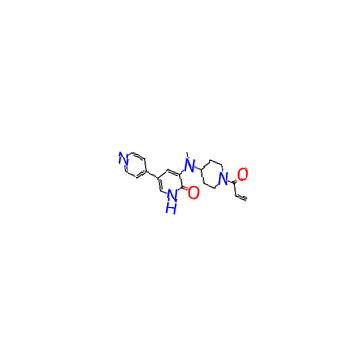 C=CC(=O)N1CCC(N(C)c2cc(-c3ccncc3)c[nH]c2=O)CC1